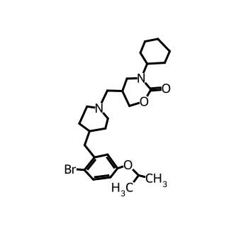 CC(C)Oc1ccc(Br)c(CC2CCN(CC3COC(=O)N(C4CCCCC4)C3)CC2)c1